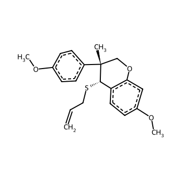 C=CCS[C@H]1c2ccc(OC)cc2OC[C@@]1(C)c1ccc(OC)cc1